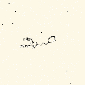 CCCCCCCCc1nc(CCCc2ccccc2)cn1CCCCCC